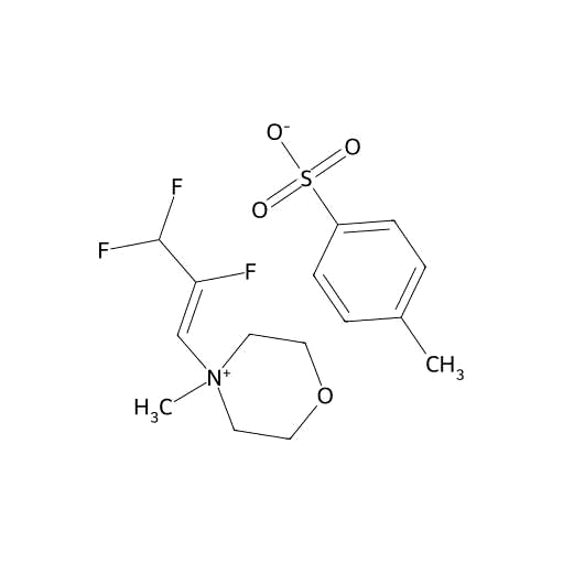 C[N+]1(C=C(F)C(F)F)CCOCC1.Cc1ccc(S(=O)(=O)[O-])cc1